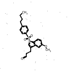 CCCCc1ccc(S(=O)(=O)n2cc(CCC=O)c3cc(OC)ccc32)cc1